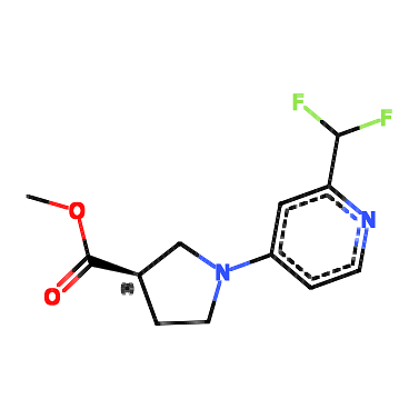 COC(=O)[C@@H]1CCN(c2ccnc(C(F)F)c2)C1